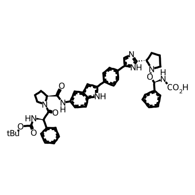 CC(C)(C)OC(=O)N[C@@H](C(=O)N1CCC[C@H]1C(=O)Nc1ccc2[nH]c(-c3ccc(-c4cnc([C@@H]5CCCN5O[C@@H](NC(=O)O)c5ccccc5)[nH]4)cc3)cc2c1)c1ccccc1